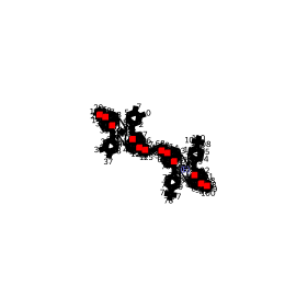 Cc1cc2c(cc1C)N(c1ccc(C(C)(C)C)cc1)C(=C1N(c3ccc(C(C)(C)C)cc3)c3cc(C)c(C)cc3N1c1ccc(C(C)(C)CCC(C)(C)c3ccc(N4/C(=C5\N(c6ccc(C(C)(C)C)cc6)c6ccc(C(C)(C)C)cc6N5c5ccc(C(C)(C)C)cc5)N(c5ccc(C(C)(C)C)cc5)c5ccc(C(C)(C)C)cc54)cc3)cc1)N2c1ccc(C(C)(C)C)cc1